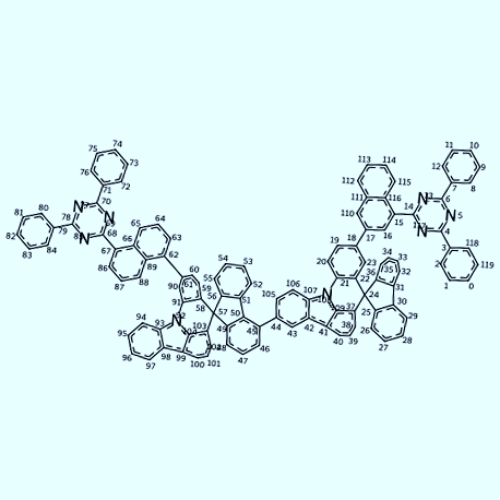 c1ccc(-c2nc(-c3ccccc3)nc(-c3cc(-c4ccc5c(c4)C4(c6ccccc6-c6ccccc64)c4cccc6c7cc(-c8cccc9c8-c8ccccc8C98c9ccc(-c%10cccc%11c(-c%12nc(-c%13ccccc%13)nc(-c%13ccccc%13)n%12)cccc%10%11)cc9-n9c%10ccccc%10c%10cccc8c%109)ccc7n-5c46)cc4ccccc34)n2)cc1